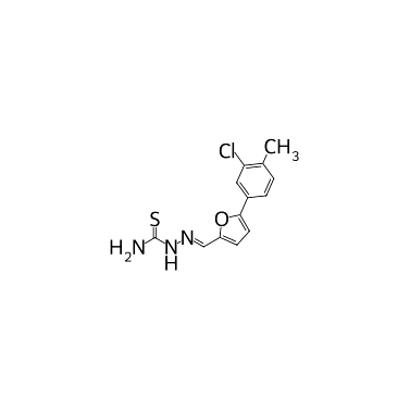 Cc1ccc(-c2ccc(C=NNC(N)=S)o2)cc1Cl